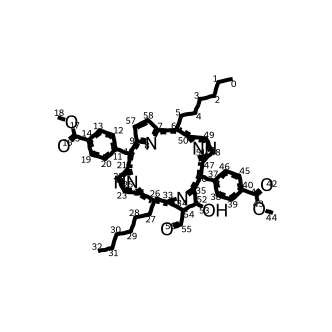 CCCCCCc1c2nc(c(-c3ccc(C(=O)OC)cc3)c3ccc([nH]3)c(CCCCCC)c3nc(c(-c4ccc(C(=O)OC)cc4)c4ccc1[nH]4)C(O)C3C=O)C=C2